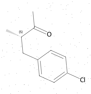 CC(=O)[C@@H](C)Cc1ccc(Cl)cc1